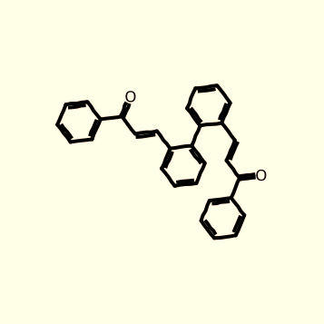 O=C(C=Cc1ccccc1-c1ccccc1C=CC(=O)c1ccccc1)c1ccccc1